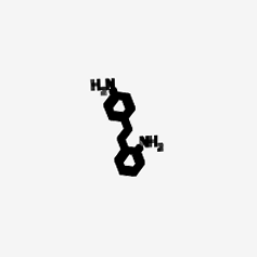 Nc1ccc(CCc2ccccc2N)cc1